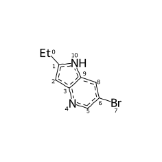 CCc1cc2ncc(Br)cc2[nH]1